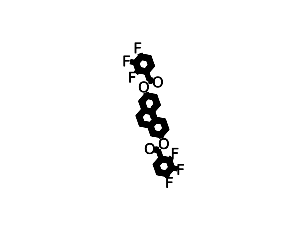 O=C(Oc1ccc2c(ccc3cc(OC(=O)c4ccc(F)c(F)c4F)ccc32)c1)c1ccc(F)c(F)c1F